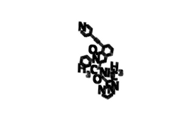 Cc1nn2cccnc2c1C(=O)NC(C)c1cc2cccc(C#Cc3ccncc3)c2c(=O)n1-c1ccccc1